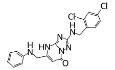 O=c1cc(CNc2ccccc2)[nH]c2nc(NCc3ccc(Cl)cc3Cl)nn12